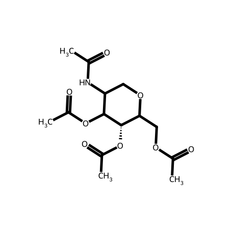 CC(=O)NC1COC(COC(C)=O)[C@H](OC(C)=O)C1OC(C)=O